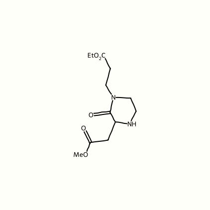 CCOC(=O)CCN1CCNC(CC(=O)OC)C1=O